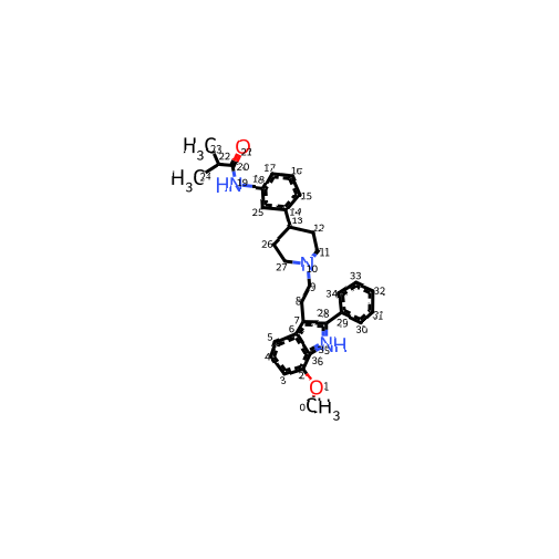 COc1cccc2c(CCN3CCC(c4cccc(NC(=O)C(C)C)c4)CC3)c(-c3ccccc3)[nH]c12